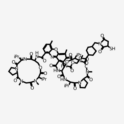 Cc1c2oc3c(C)ccc(C(=O)NC4COC(=O)C(C(C)C)N(C)C(=O)CN(C)C(=O)C5CCCN5C(=O)C(C(C)C)NC4=O)c3nc-2c(C(=O)NC2C(=O)NC(C(C)C)C(=O)N3CCCC3C(=O)N(C)CC(=O)N(C)C(C(C)C)C(=O)OC2C)c(NC(=O)OCOC(=O)C2CCC(CN3C(=O)CC(S)C3=O)CC2)c1=O